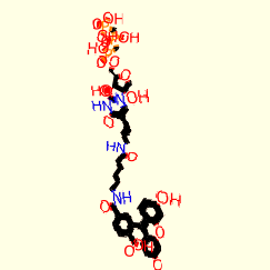 O=C(CCCCCNC(=O)c1ccc(C(=O)O)c(-c2c3ccc(=O)cc-3oc3cc(O)ccc23)c1)NC/C=C/c1cn(C2(O)CO[C@H](COP(=O)(O)CP(=O)(O)CP(=O)(O)O)[C@H]2O)c(=O)[nH]c1=O